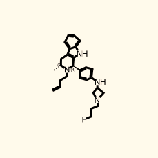 C=CCCN1[C@H](c2ccc(NC3CN(CCCF)C3)cc2)c2[nH]c3ccccc3c2C[C@H]1C